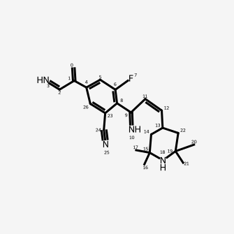 C=C(C=N)c1cc(F)c(C(=N)/C=C\C2CC(C)(C)NC(C)(C)C2)c(C#N)c1